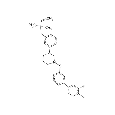 C=CC(C)(C)Cc1cccc(C2CCCN(Sc3cccc(-c4ccc(F)c(F)c4)c3)C2)c1